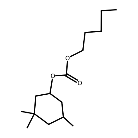 CCCCCOC(=O)OC1CC(C)CC(C)(C)C1